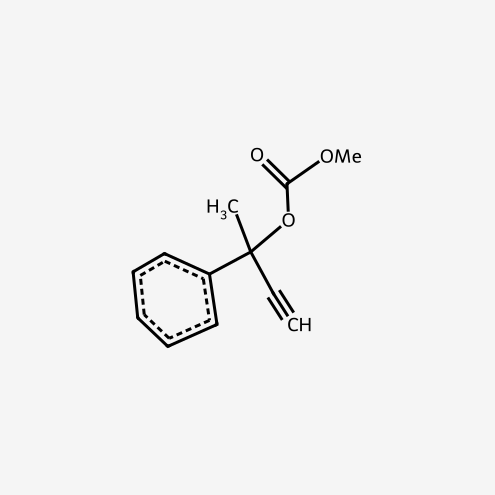 C#CC(C)(OC(=O)OC)c1ccccc1